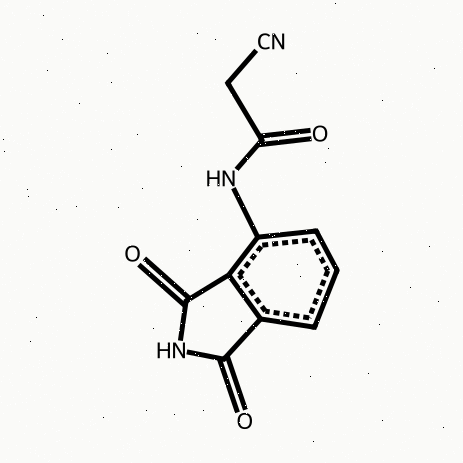 N#CCC(=O)Nc1cccc2c1C(=O)NC2=O